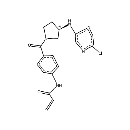 C=CC(=O)Nc1ccc(C(=O)N2CC[C@@H](Nc3cnc(Cl)cn3)C2)cc1